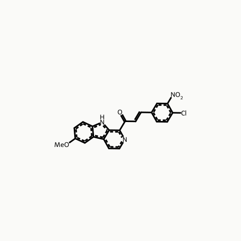 COc1ccc2[nH]c3c(C(=O)/C=C/c4ccc(Cl)c([N+](=O)[O-])c4)nccc3c2c1